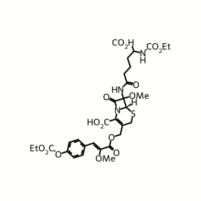 CCOC(=O)NC(CCCC(=O)NC1(OC)C(=O)N2C(C(=O)O)=C(COC(=O)C(=Cc3ccc(OC(=O)OCC)cc3)OC)CS[C@H]21)C(=O)O